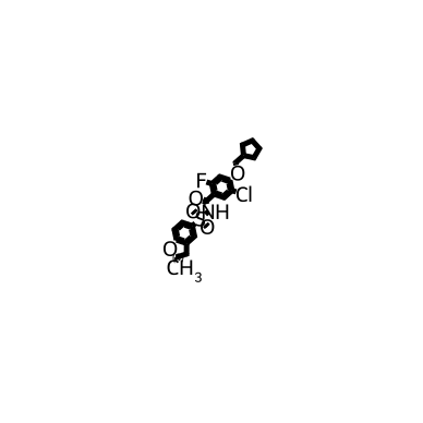 C[C@H]1Cc2cc(S(=O)(=O)NC(=O)c3cc(Cl)c(OCC4CCCC4)cc3F)ccc2O1